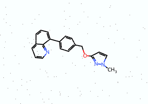 Cn1ccc(OCc2ccc(-c3cccc4cccnc34)cc2)n1